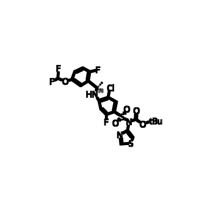 C[C@H](Nc1cc(F)c(S(=O)(=O)N(C(=O)OC(C)(C)C)c2cscn2)cc1Cl)c1cc(OC(F)F)ccc1F